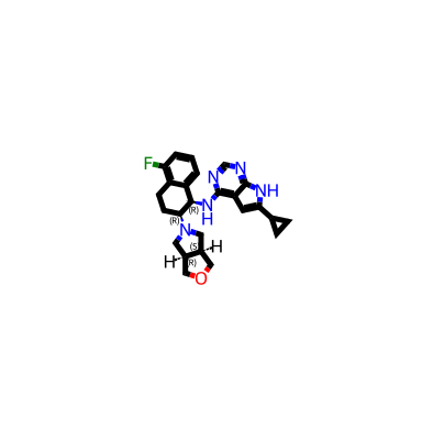 Fc1cccc2c1CC[C@@H](N1C[C@H]3COC[C@H]3C1)[C@@H]2Nc1ncnc2[nH]c(C3CC3)cc12